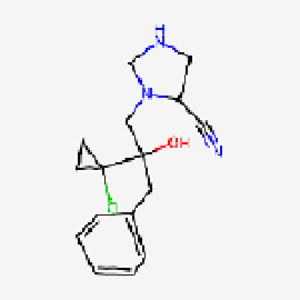 N#CC1CNCN1CC(O)(Cc1ccccc1)C1(Cl)CC1